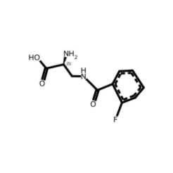 N[C@@H](CNC(=O)c1ccccc1F)C(=O)O